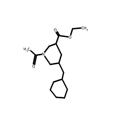 CCOC(=O)C1CC(CC2CCCCC2)CN(C(C)=O)C1